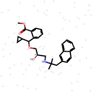 COC(=O)c1ccccc1C(OC[C@H](O)CNC(C)(C)Cc1ccc2ccccc2c1)C1CC1